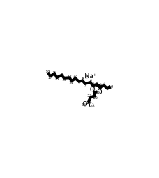 C=CCC(=CCCCCCCCCCCCCCC)OC(=O)CCC(=O)[O-].[Na+]